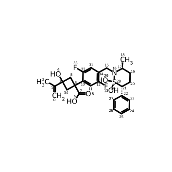 C=C(C)C1(O)CC(C(=O)O)(c2cc(F)c(CN3[C@@H](C)CC[C@H](c4ccccc4)S3(O)O)cc2F)C1